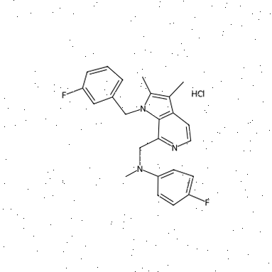 Cc1c(C)n(Cc2cccc(F)c2)c2c(CN(C)c3ccc(F)cc3)nccc12.Cl